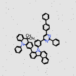 CC1(C)c2ccccc2N(c2ccccc2)c2cc(-c3cccc4c5c6ccccc6ccc5n(-c5cccc(-c6cc(-c7ccc(-c8ccccc8)cc7)nc(C7C=CC=CC7)n6)c5)c34)ccc21